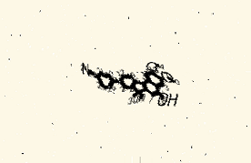 COc1cc2c(O)cc3c(c2cc1OC)-c1ccc(-c2ccc(C#N)cc2)cc1C3(C)C